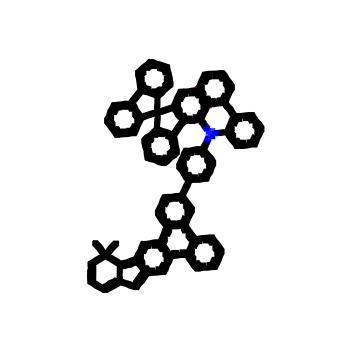 CC1(C)C=CC=C2C=c3cc4c5ccccc5c5cc(-c6ccc(N(c7ccccc7-c7ccccc7)c7cccc8c7-c7ccccc7C87c8ccccc8-c8ccccc87)cc6)ccc5c4cc3=C21